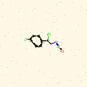 O=C=NCC(Cl)c1ccc(Cl)cc1